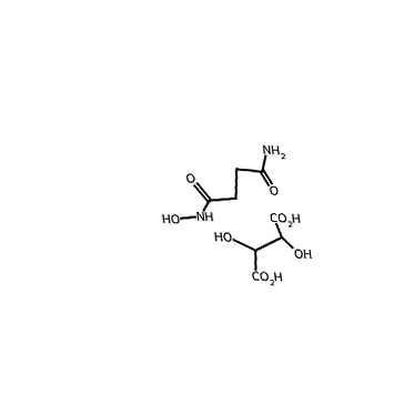 NC(=O)CCC(=O)NO.O=C(O)C(O)C(O)C(=O)O